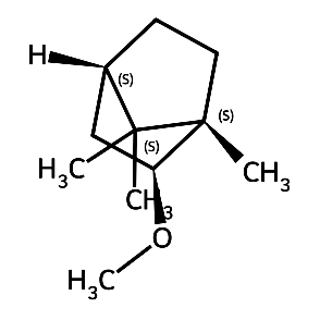 CO[C@H]1C[C@@H]2CC[C@@]1(C)C2(C)C